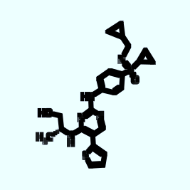 C[C@H](CO)Nc1nc(Nc2ccc(S(=O)(=NCC3CC3)C3CC3)cc2)ncc1-c1cccs1